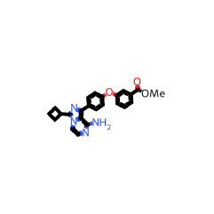 COC(=O)c1cccc(Oc2ccc(-c3nc(C4CCC4)n4ccnc(N)c34)cc2)c1